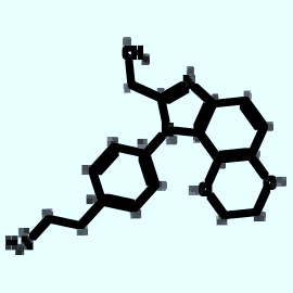 CCc1nc2ccc3c(c2n1-c1ccc(CCN)cc1)OCCO3